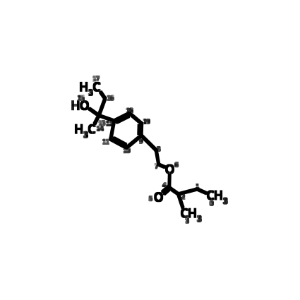 CCC(C)C(=O)OCCc1ccc(C(C)(O)CC)cc1